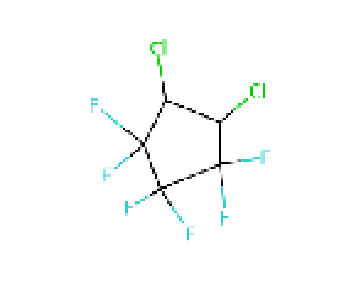 FC1(F)C(Cl)C(Cl)C(F)(F)C1(F)F